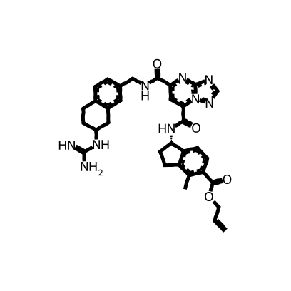 C=CCOC(=O)c1ccc2c(c1C)CC[C@@H]2NC(=O)c1cc(C(=O)NCc2ccc3c(c2)CC(NC(=N)N)CC3)nc2ncnn12